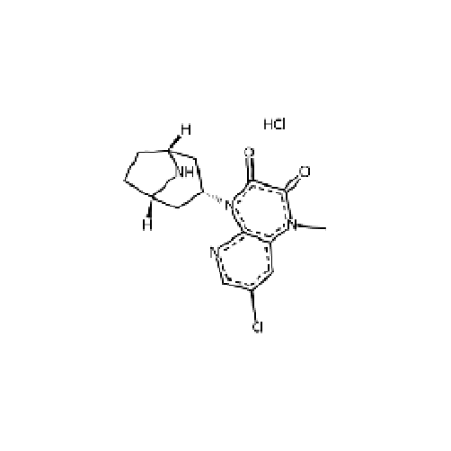 Cl.Cn1c(=O)c(=O)n([C@H]2C[C@H]3CC[C@@H](C2)N3)c2ncc(Cl)cc21